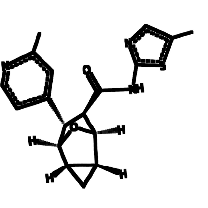 Cc1cc([C@H]2[C@H]3O[C@H]([C@@H]4C[C@@H]43)[C@@H]2C(=O)Nc2ncc(C)s2)ccn1